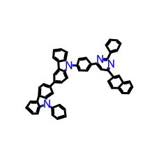 c1ccc(-c2nc(-c3ccc(-n4c5ccccc5c5cc(-c6ccc7c8ccccc8n(-c8ccccc8)c7c6)ccc54)cc3)cc(-c3ccc4ccccc4c3)n2)cc1